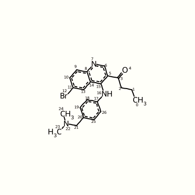 CCCC(=O)c1cnc2ccc(Br)cc2c1Nc1ccc(CN(C)C)cc1